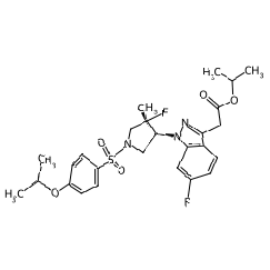 CC(C)OC(=O)Cc1nn([C@H]2CN(S(=O)(=O)c3ccc(OC(C)C)cc3)C[C@]2(C)F)c2cc(F)ccc12